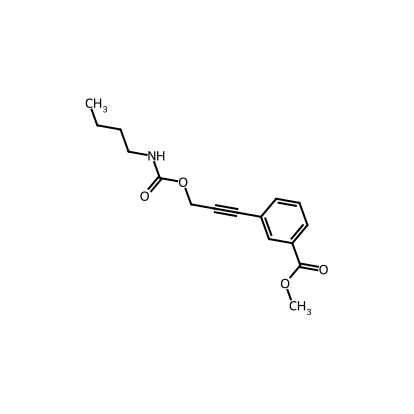 CCCCNC(=O)OCC#Cc1cccc(C(=O)OC)c1